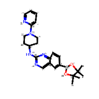 CC1(C)OB(c2ccc3nc(NC4CCN(c5ccccn5)CC4)ncc3c2)OC1(C)C